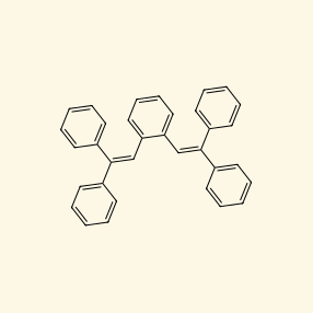 C(=C(c1ccccc1)c1ccccc1)c1ccccc1C=C(c1ccccc1)c1ccccc1